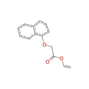 C=COC(=O)COc1cccc2ccccc12